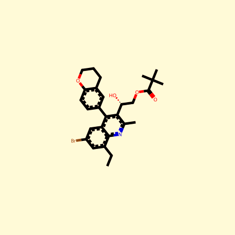 CCc1cc(Br)cc2c(-c3ccc4c(c3)CCCO4)c([C@H](O)COC(=O)C(C)(C)C)c(C)nc12